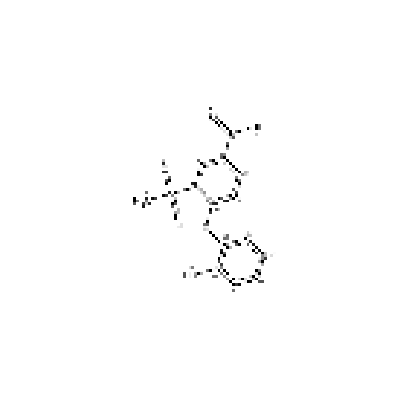 CS(=O)(=O)c1cc(C(=O)O)ccc1Oc1cnccc1O